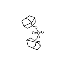 [O]=[Cr](=[O])([O]C12CC3CC(CC(C3)C1)C2)[O]C12CC3CC(CC(C3)C1)C2